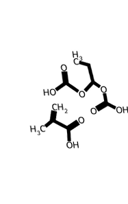 C=C(C)C(=O)O.CCC(OC(=O)O)OC(=O)O